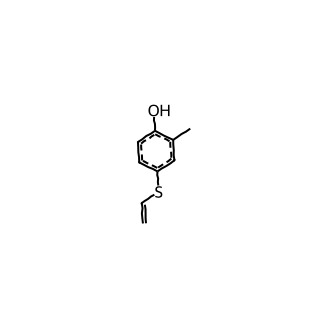 C=CSc1ccc(O)c(C)c1